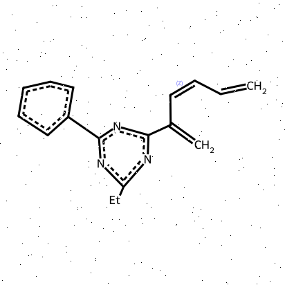 C=C/C=C\C(=C)c1nc(CC)nc(-c2ccccc2)n1